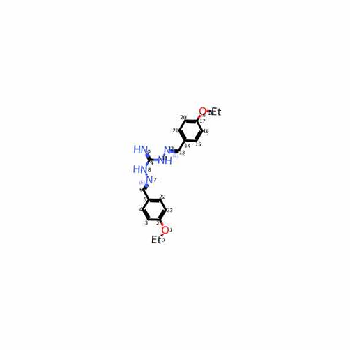 CCOc1ccc(/C=N/NC(=N)N/N=C/c2ccc(OCC)cc2)cc1